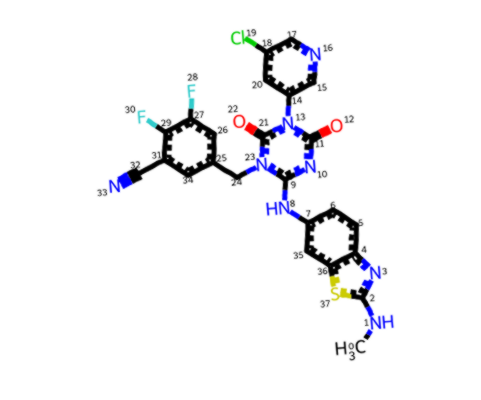 CNc1nc2ccc(Nc3nc(=O)n(-c4cncc(Cl)c4)c(=O)n3Cc3cc(F)c(F)c(C#N)c3)cc2s1